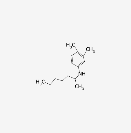 CCCCCC(C)Nc1ccc(C)c(C)c1